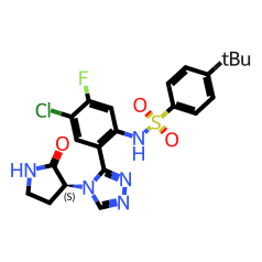 CC(C)(C)c1ccc(S(=O)(=O)Nc2cc(F)c(Cl)cc2-c2nncn2[C@H]2CCNC2=O)cc1